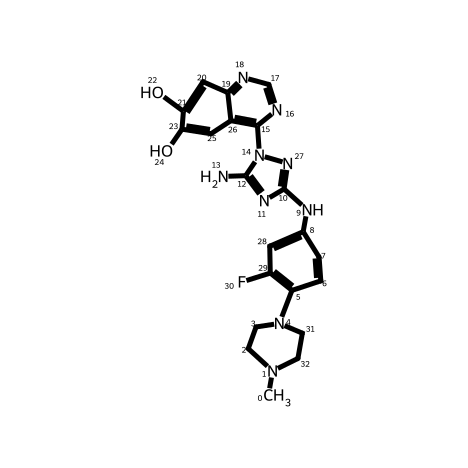 CN1CCN(c2ccc(Nc3nc(N)n(-c4ncnc5cc(O)c(O)cc45)n3)cc2F)CC1